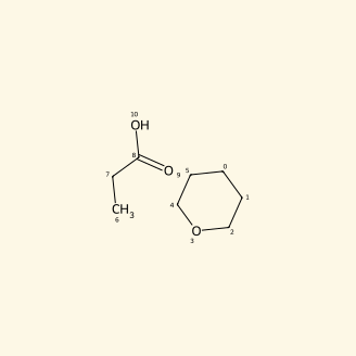 C1CCOCC1.CCC(=O)O